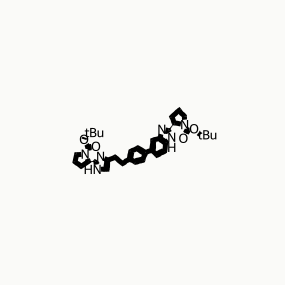 CC(C)(C)OC(=O)N1CCC[C@H]1c1nc(CCc2ccc(-c3ccc4[nH]c([C@@H]5CCCN5C(=O)OC(C)(C)C)nc4c3)cc2)c[nH]1